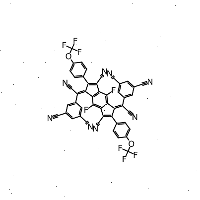 N#CC1=C(c2ccc(OC(F)(F)F)cc2)/C(=C(\C#N)c2cc(C#N)cc(C#N)c2)c2c(F)c3c(c(F)c21)/C(=C(/C#N)c1cc(C#N)cc(C#N)c1)C(c1ccc(OC(F)(F)F)cc1)=C3C#N